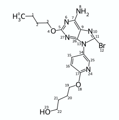 CCCCOc1nc(N)c2nc(Br)n(-c3ccc(OCCCCO)nc3)c2n1